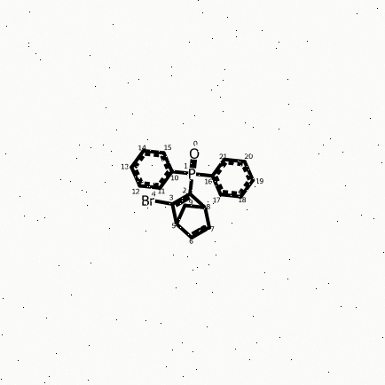 O=P(C1=C(Br)C2C=CC1C2)(c1ccccc1)c1ccccc1